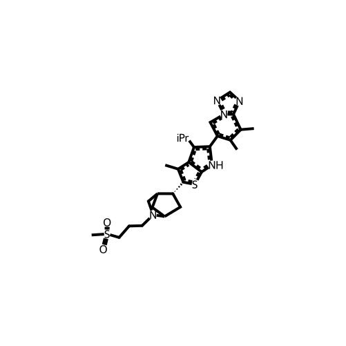 Cc1c(-c2[nH]c3sc([C@@H]4CC5CC4CN5CCCS(C)(=O)=O)c(C)c3c2C(C)C)cn2ncnc2c1C